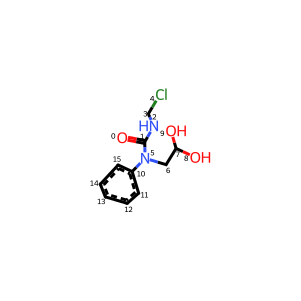 O=C(NCCl)N(CC(O)O)c1ccccc1